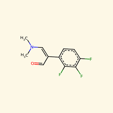 CN(C)C=C(C=O)c1ccc(F)c(F)c1F